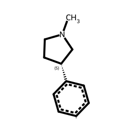 CN1CC[C@@H](c2cc[c]cc2)C1